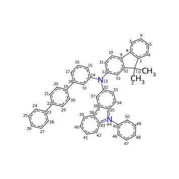 CC1(C)c2ccccc2-c2ccc(N(c3cccc(-c4ccc(-c5ccccc5)cc4)c3)c3ccc4c(c3)c3ccccc3n4-c3ccccc3)cc21